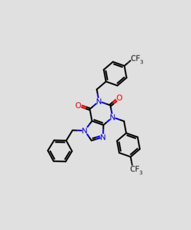 O=c1c2c(ncn2Cc2ccccc2)n(Cc2ccc(C(F)(F)F)cc2)c(=O)n1Cc1ccc(C(F)(F)F)cc1